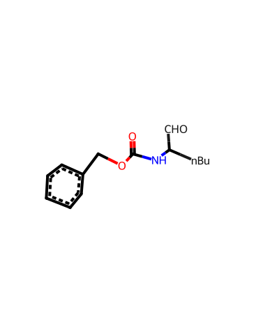 CCCCC(C=O)NC(=O)OCc1ccccc1